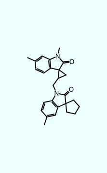 Cc1ccc2c(c1)N(C)C(=O)C21CC1CN1C(=O)C2(CCCC2)c2cc(C)ccc21